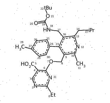 CCc1ncc(C(=O)O)c(OCc2c(C)nc(CC(C)C)c(CNC(=O)OC(C)(C)C)c2-c2ccc(C)cc2)n1